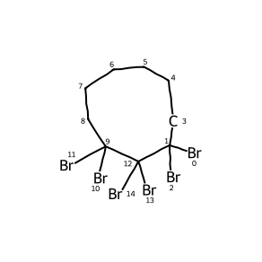 BrC1(Br)CCCCCCC(Br)(Br)C1(Br)Br